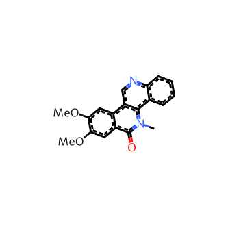 COc1cc2c(=O)n(C)c3c4ccccc4ncc3c2cc1OC